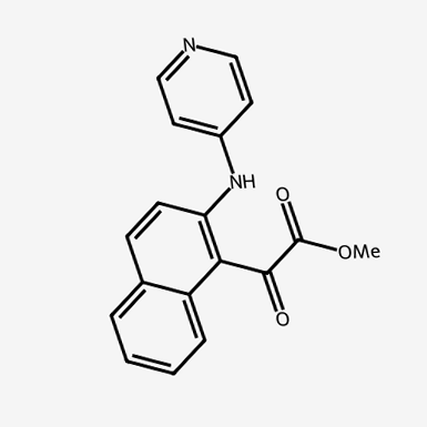 COC(=O)C(=O)c1c(Nc2ccncc2)ccc2ccccc12